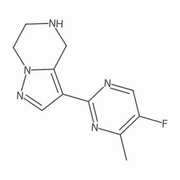 Cc1nc(-c2cnn3c2CNCC3)ncc1F